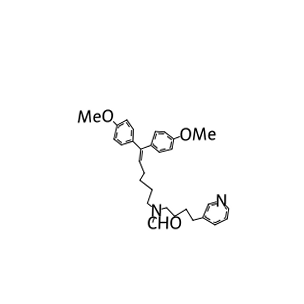 COc1ccc(C(=CCCCCN(C=O)CCCCc2cccnc2)c2ccc(OC)cc2)cc1